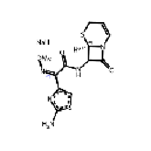 CO/N=C(\C(=O)NC1C(=O)N2C=CCS[C@H]12)c1csc(N)n1.[NaH]